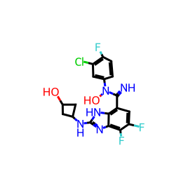 N=C(c1cc(F)c(F)c2nc(NC3CC(O)C3)[nH]c12)N(O)c1ccc(F)c(Cl)c1